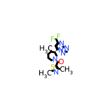 Cc1nc(C)c(C(=O)N2CCC[C@@H](C)[C@H](c3cc(C(F)F)nc4ncnn34)C2)s1